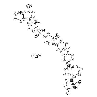 CC1(C)C(NC(=O)c2ccc(N3CCC(CN4CCC(n5ncc6c(N7CCC(=O)NC7=O)ccnc65)CC4)CC3)c(F)c2)C(C)(C)C1Oc1ccc(C#N)c2ncccc12.Cl